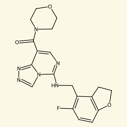 O=C(c1cnc(NCc2c(F)ccc3c2CCO3)n2cnnc12)N1CCOCC1